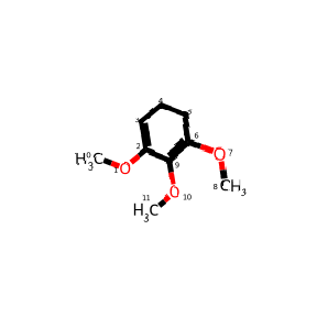 COC1=CCCC(OC)=C1OC